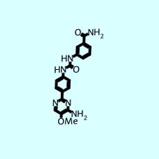 COc1cnc(-c2ccc(NC(=O)Nc3cccc(C(N)=O)c3)cc2)nc1N